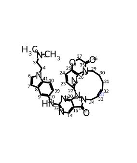 CN(C)CCn1ccc2cc(Nc3ncc4c(=O)n5n(c4n3)-c3ccc4c(n3)N(CCC/C=C\C5)C(=O)CO4)ccc21